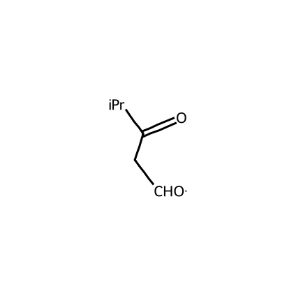 CC(C)C(=O)C[C]=O